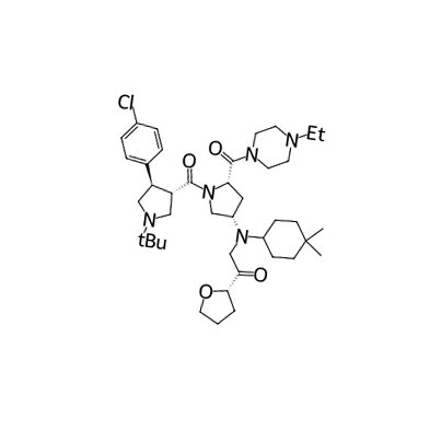 CCN1CCN(C(=O)[C@@H]2C[C@H](N(CC(=O)[C@@H]3CCCO3)C3CCC(C)(C)CC3)CN2C(=O)[C@@H]2CN(C(C)(C)C)C[C@H]2c2ccc(Cl)cc2)CC1